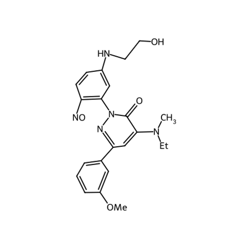 CCN(C)c1cc(-c2cccc(OC)c2)nn(-c2cc(NCCO)ccc2N=O)c1=O